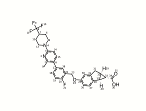 Cc1nc(N2CCC(C(F)(F)F)CC2)ccc1-c1ccc(F)c(COc2ccc3c(c2)C[C@H]2[C@H](C(=O)O)[C@@H]32)c1